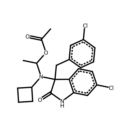 CC(=O)OC(C)N(C1CCC1)C1(Cc2cccc(Cl)c2)C(=O)Nc2cc(Cl)ccc21